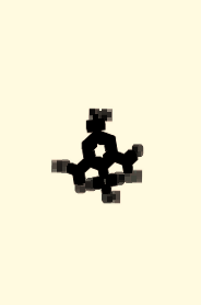 C=C.O=C(O)c1cccc(C(=O)O)c1S(=O)(=O)O.[NaH]